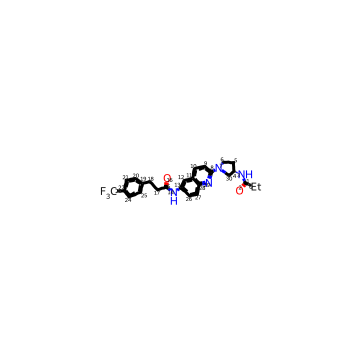 CCC(=O)N[C@H]1CCN(c2ccc3cc(NC(=O)CCc4ccc(C(F)(F)F)cc4)ccc3n2)C1